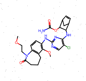 COCCN1C(=O)CCCc2c1ccc(Nc1ncc(Cl)c(NC3C4C=CC(C4)C3OC(N)=O)n1)c2OC